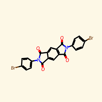 O=c1c2cc3c(=O)n(-c4ccc(Br)cc4)c(=O)c3cc2c(=O)n1-c1ccc(Br)cc1